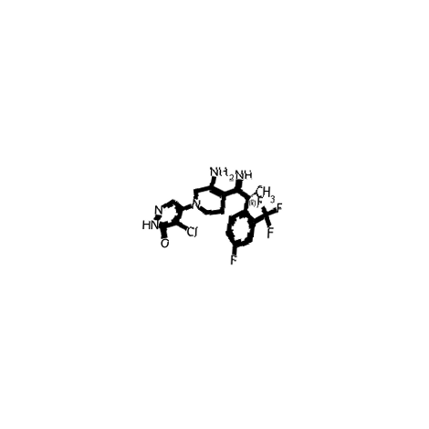 C[C@@H](C(=N)C1=C(N)CN(c2cn[nH]c(=O)c2Cl)CC1)c1ccc(F)cc1C(F)(F)F